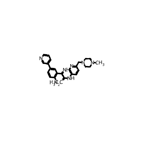 C=C(Nc1ccc(CN2CCN(C)CC2)nc1)C(=N)c1cc(-c2cccnc2)ccc1C